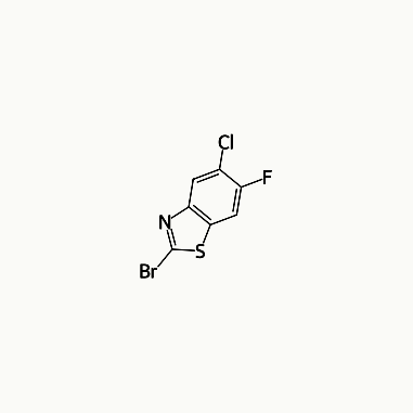 Fc1cc2sc(Br)nc2cc1Cl